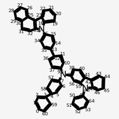 c1ccc(-c2ccc(N(c3ccc(-c4ccc(-n5c6ccccc6c6c7ccccc7ccc65)cc4)cc3)c3ccc4c5ccccc5n(-c5ccccc5)c4c3)cc2)cc1